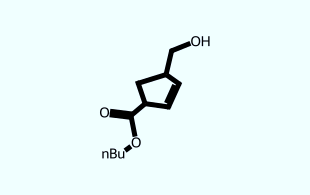 CCCCOC(=O)C1C=CC(CO)C1